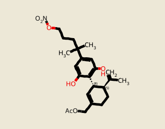 C=C(C)[C@H]1CCC(COC(C)=O)=C[C@@H]1c1c(O)cc(C(C)(C)CCCO[N+](=O)[O-])cc1O